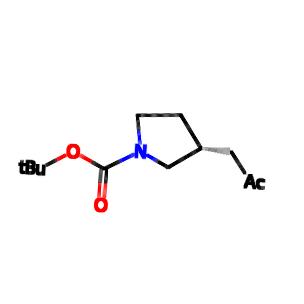 CC(=O)C[C@H]1CCN(C(=O)OC(C)(C)C)C1